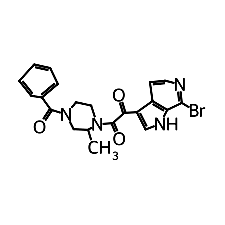 CC1CN(C(=O)c2ccccc2)CCN1C(=O)C(=O)c1c[nH]c2c(Br)nccc12